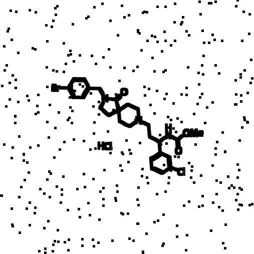 COC(=O)NC(CCN1CCC2(CC1)CCN(Cc1ccc(Br)cc1)C2=O)c1cccc(Cl)c1.Cl